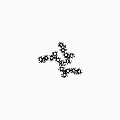 c1cc(-c2nc(-c3ccc(-n4c5ccccc5c5cc(-c6ccc7c(c6)oc6ccccc67)ccc54)cc3)nc(-c3cccc(-n4c5ccccc5c5cc(-c6ccc7c(c6)oc6ccccc67)ccc54)c3)n2)cc(-n2c3ccccc3c3cc(-c4ccc5c(c4)oc4ccccc45)ccc32)c1